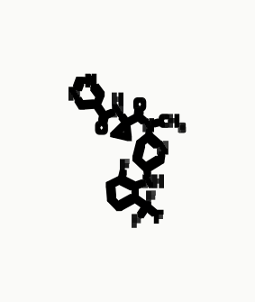 CN(C(=O)C1(NC(=O)c2cncnc2)CC1)c1ccc(Nc2c(F)cccc2C(F)(F)F)cn1